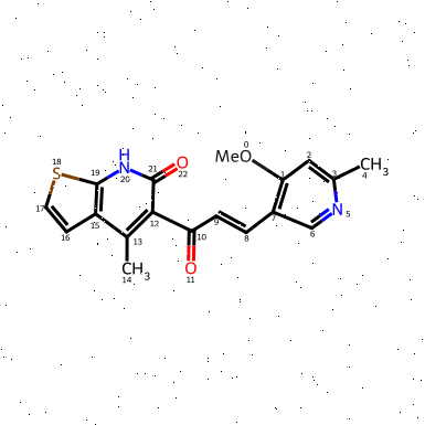 COc1cc(C)ncc1/C=C/C(=O)c1c(C)c2ccsc2[nH]c1=O